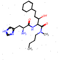 CCCCN(C)C(=O)C(NC(=O)[C@@H](N)Cc1c[nH]cn1)C(O)CCC1CCCCC1